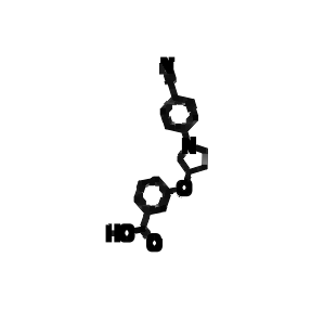 N#Cc1ccc(N2CCC(Oc3cccc(C(=O)O)c3)C2)cc1